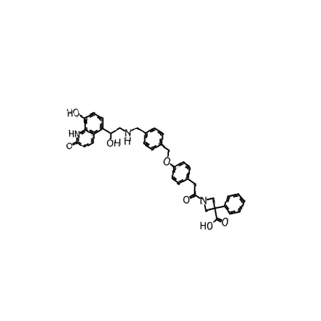 O=C(Cc1ccc(OCc2ccc(CNCC(O)c3ccc(O)c4[nH]c(=O)ccc34)cc2)cc1)N1CC(C(=O)O)(c2ccccc2)C1